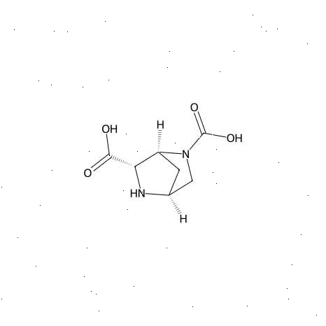 O=C(O)[C@H]1N[C@H]2C[C@@H]1N(C(=O)O)C2